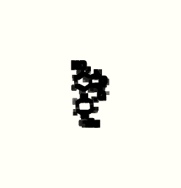 CCCCN1CCN(c2ccc([N+](=O)[O-])c3no[n+]([O-])c23)CC1